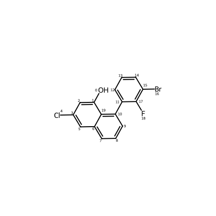 Oc1cc(Cl)cc2cccc(-c3cccc(Br)c3F)c12